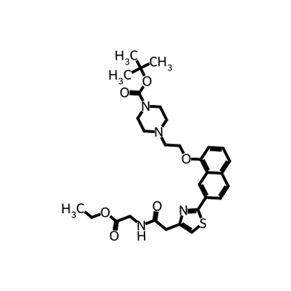 CCOC(=O)CNC(=O)Cc1csc(-c2ccc3cccc(OCCN4CCN(C(=O)OC(C)(C)C)CC4)c3c2)n1